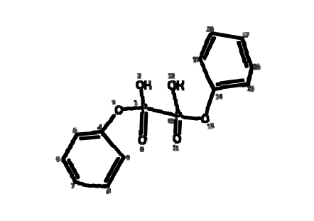 O=P(O)(Oc1ccccc1)P(=O)(O)Oc1ccccc1